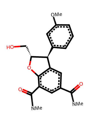 CNC(=O)c1cc(C(=O)NC)c2c(c1)[C@H](c1cccc(OC)c1)[C@@H](CO)O2